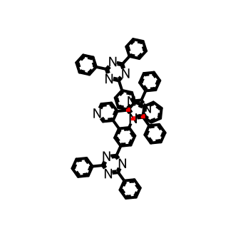 c1ccc(-c2nc(-c3ccccc3)nc(-c3ccc(-n4c5ccccc5c5cc(-c6nc(-c7ccccc7)nc(-c7ccccc7)n6)ccc54)c(-c4cnccc4-c4nc(-c5ccccc5)nc(-c5ccccc5)n4)c3)n2)cc1